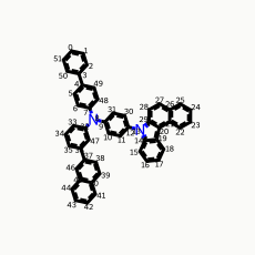 c1ccc(-c2ccc(N(c3ccc(-n4c5ccccc5c5c6ccccc6ccc54)cc3)c3cccc(-c4ccc5ccccc5c4)c3)cc2)cc1